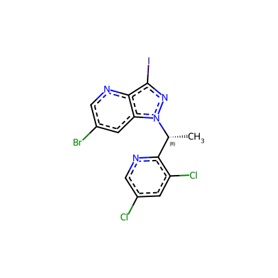 C[C@H](c1ncc(Cl)cc1Cl)n1nc(I)c2ncc(Br)cc21